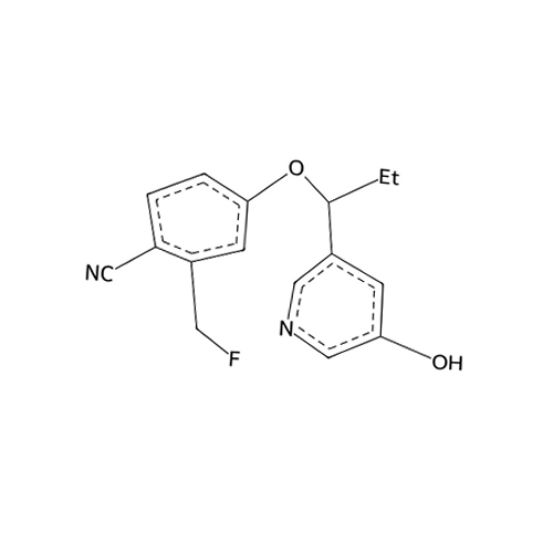 CCC(Oc1ccc(C#N)c(CF)c1)c1cncc(O)c1